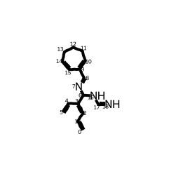 C=C/C=C(\C=C)C(/N=C/C1=CCCCC=C1)NC=N